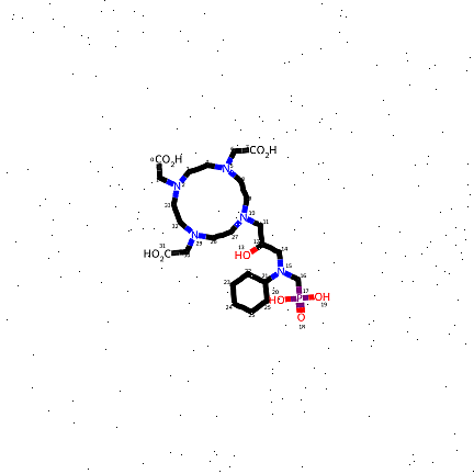 O=C(O)CN1CCN(CC(=O)O)CCN(CC(O)CN(CP(=O)(O)O)C2CCCCC2)CCN(CC(=O)O)CC1